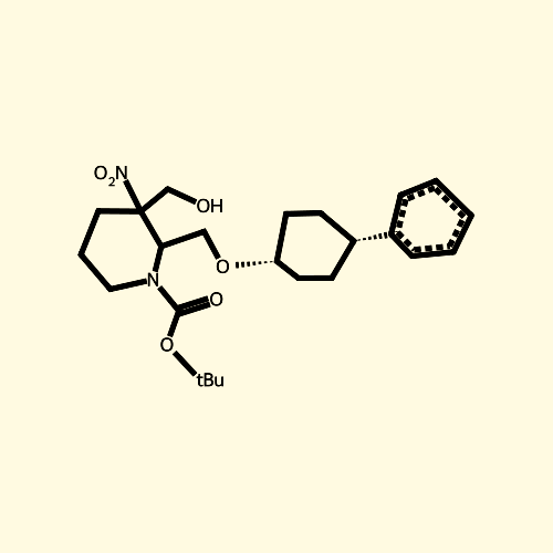 CC(C)(C)OC(=O)N1CCCC(CO)([N+](=O)[O-])C1CO[C@H]1CC[C@@H](c2ccccc2)CC1